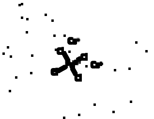 [Cl][Pd-2]([Cl])([Cl])[Cl].[Cs+].[Cs+]